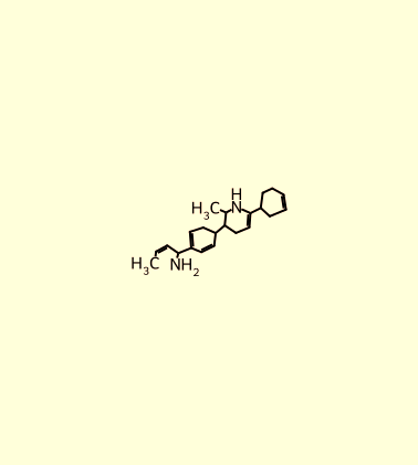 C/C=C\C(N)C1=CCC(C2CC=C(C3CC=CCC3)NC2C)C=C1